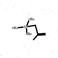 C=C(C)[CH2][Zn]([CH2]CCC)([CH2]CCC)[CH2]CCC